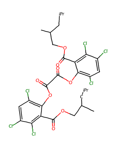 CC(C)CC(C)COC(=O)c1c(Cl)c(Cl)cc(Cl)c1OC(=O)C(=O)Oc1c(Cl)cc(Cl)c(Cl)c1C(=O)OCC(C)CC(C)C